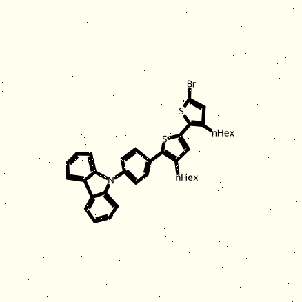 CCCCCCc1cc(-c2sc(Br)cc2CCCCCC)sc1-c1ccc(-n2c3ccccc3c3ccccc32)cc1